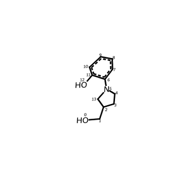 OCC1CCN(c2ccccc2O)C1